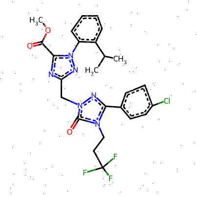 COC(=O)c1nc(Cn2nc(-c3ccc(Cl)cc3)n(CCC(F)(F)F)c2=O)nn1-c1ccccc1C(C)C